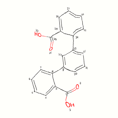 O=C(O)c1ccccc1-c1cccc(-c2ccccc2C(=O)O)c1